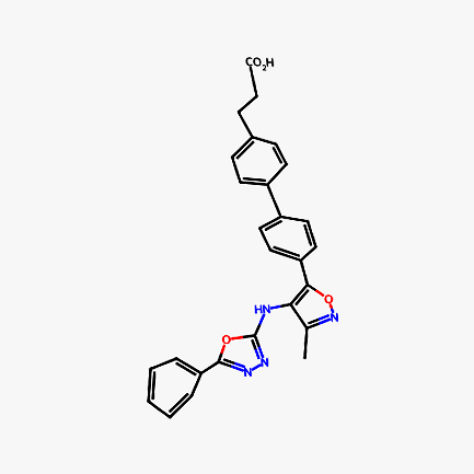 Cc1noc(-c2ccc(-c3ccc(CCC(=O)O)cc3)cc2)c1Nc1nnc(-c2ccccc2)o1